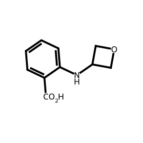 O=C(O)c1ccccc1NC1COC1